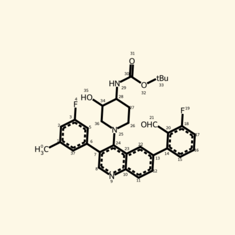 Cc1cc(F)cc(-c2cnc3ccc(-c4cccc(F)c4C=O)cc3c2N2CCC(NC(=O)OC(C)(C)C)C(O)C2)c1